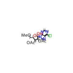 COC[C@H]1O[C@](O)(n2cnc3c(Cl)ncnc32)[C@H](OC(C)=O)[C@@H]1OC(C)=O